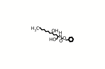 CCCCCCCC(O)CCC(CO)NC(=O)OCc1ccccc1